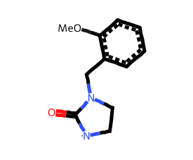 COc1ccccc1CN1CC[N]C1=O